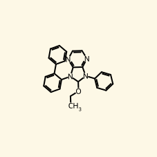 CCOC1N(c2ccccc2)c2nccnc2N1c1ccccc1-c1ccccc1